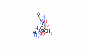 Cc1cc(N(C)C(N)=O)cc(C)c1CC[S+]([O-])N1CCC2(CC1)N=C(CCCCCc1ccccc1)NC2=O